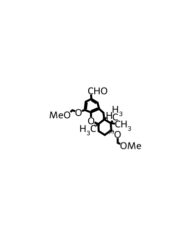 COCOc1cc(C=O)cc2c1O[C@]1(C)CC[C@@H](OCOC)C(C)(C)[C@H]1C2